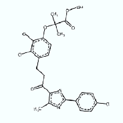 Cc1nc(-c2ccc(Cl)cc2)sc1C(=O)CCc1ccc(OC(C)(C)C(=O)OC(C)(C)C)c(Cl)c1Cl